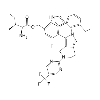 CCc1cccc(CC)c1-n1nc2c(c1-c1c(F)cc(COC(=O)[C@@H](N)[C@@H](C)CC)c3[nH]ccc13)CN(c1ncc(C(F)(F)F)cn1)CC2